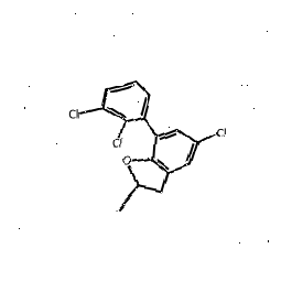 [CH2]C1Cc2cc(Cl)cc(-c3cccc(Cl)c3Cl)c2O1